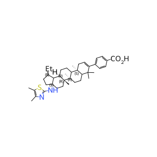 CC[C@@H]1CC[C@]2(Nc3nc(C)c(C)s3)CC[C@]3(C)[C@H](CCC4[C@@]5(C)CC=C(c6ccc(C(=O)O)cc6)C(C)(C)C5CC[C@]43C)C12